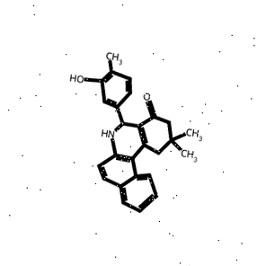 Cc1ccc(C2Nc3ccc4ccccc4c3C3=C2C(=O)CC(C)(C)C3)cc1O